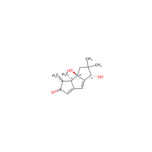 C=C1C(=O)C=C2C=C3[C@@H](O)C(C)(C)C[C@@]3(O)[C@]12C